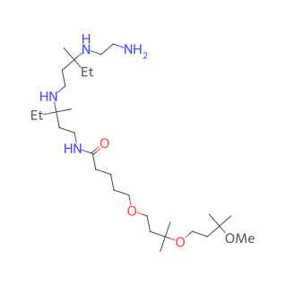 CCC(C)(CCNC(=O)CCCCOCCC(C)(C)OCCC(C)(C)OC)NCCC(C)(CC)NCCN